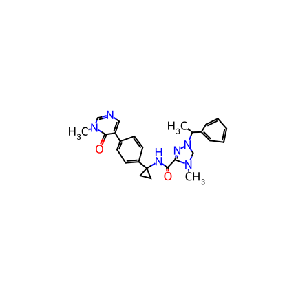 C[C@@H](c1ccccc1)N1CN(C)C(C(=O)NC2(c3ccc(-c4cncn(C)c4=O)cc3)CC2)=N1